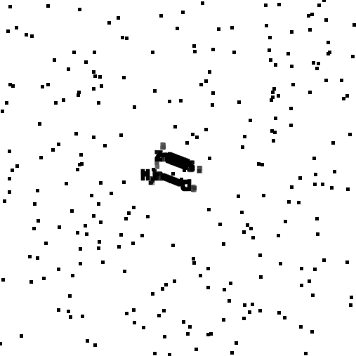 [Cl][InH2].[S]=[Zn]